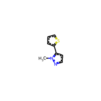 Cn1nccc1-c1cccs1